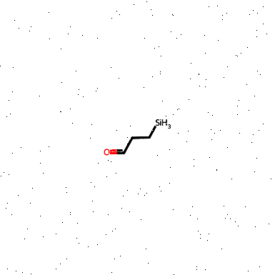 O=CCC[SiH3]